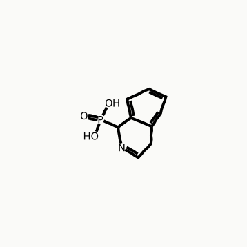 O=P(O)(O)C1N=CCc2ccccc21